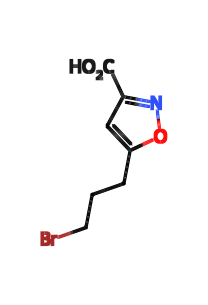 O=C(O)c1cc(CCCBr)on1